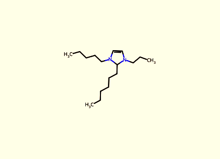 CCCCCCC1N(CCC)C=CN1CCCCC